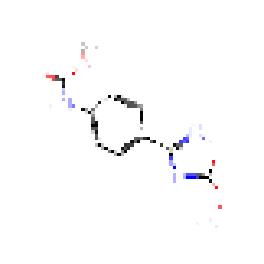 CC(C)OC(=O)Nc1ccc(-c2noc(OC(F)(F)F)n2)cc1